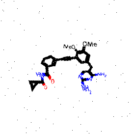 COc1cc(Cc2cnc(N)nc2N)cc(C#Cc2cccc(C(=O)NC(=O)C3CC3)c2)c1OC